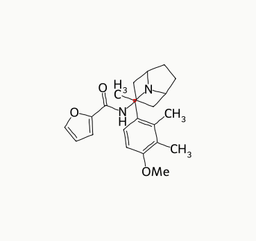 COc1ccc(C(C)N2C3CCC2CC(NC(=O)c2ccco2)C3)c(C)c1C